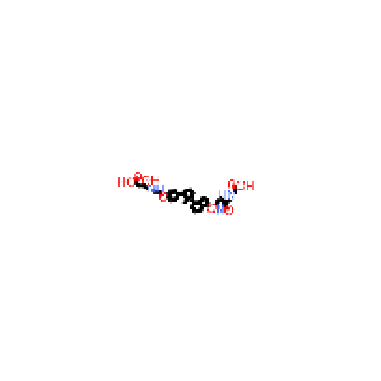 COc1nc(O[C@H]2CCc3c(-c4cccc(-c5ccc(OCCNC[C@@H](O)CC(=O)O)cc5)c4C)cccc32)ccc1CNCC(=O)O